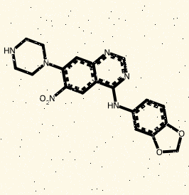 O=[N+]([O-])c1cc2c(Nc3ccc4c(c3)OCO4)ncnc2cc1N1CCNCC1